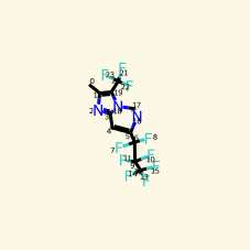 Cc1nc2cc(C(F)(F)C(F)(F)C(F)(F)F)ncn2c1C(F)(F)F